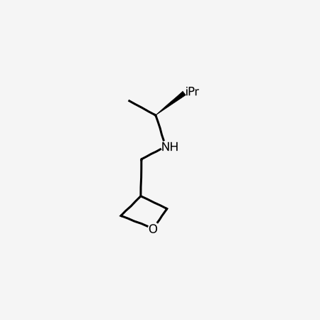 CC(C)[C@H](C)NCC1COC1